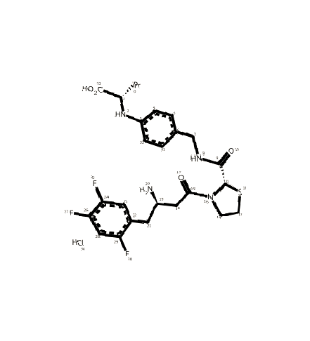 CC(C)[C@H](Nc1ccc(CNC(=O)[C@@H]2SCCN2C(=O)C[C@H](N)Cc2cc(F)c(F)cc2F)cc1)C(=O)O.Cl